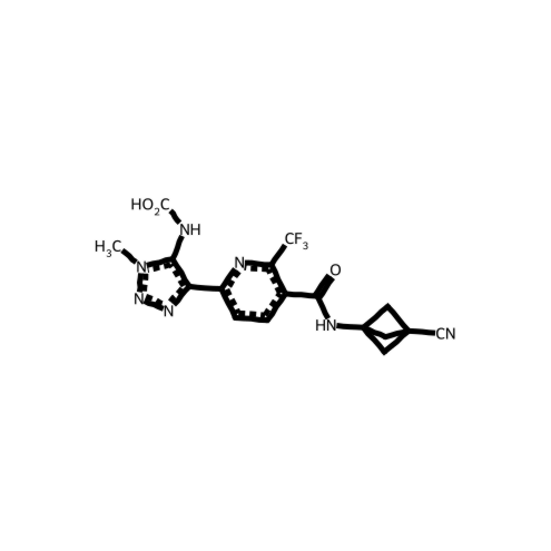 Cn1nnc(-c2ccc(C(=O)NC34CC(C#N)(C3)C4)c(C(F)(F)F)n2)c1NC(=O)O